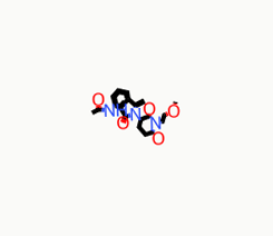 C=C1c2cccc(NC(C)=O)c2C(=O)N1C1CCC(=O)N(CCOC)C1=O